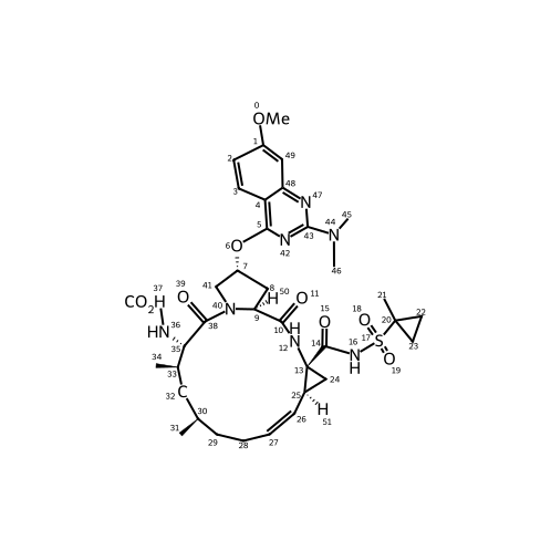 COc1ccc2c(O[C@@H]3C[C@H]4C(=O)N[C@]5(C(=O)NS(=O)(=O)C6(C)CC6)C[C@H]5/C=C\CC[C@@H](C)C[C@@H](C)[C@H](NC(=O)O)C(=O)N4C3)nc(N(C)C)nc2c1